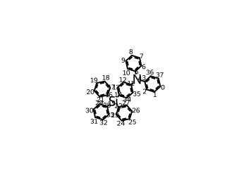 c1ccc(N(c2ccccc2)c2ccc([Si](c3ccccc3)(c3ccccc3)c3ccccc3)cc2)cc1